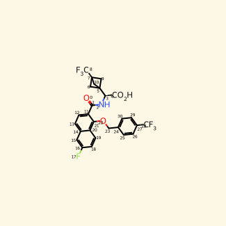 O=C(N[C@H](C(=O)O)C12CC(C(F)(F)F)(C1)C2)c1ccc2cc(F)ccc2c1OCc1ccc(C(F)(F)F)cc1